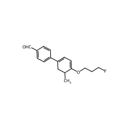 CC1CC(c2ccc(C=O)cc2)=CC=C1OCCCF